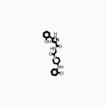 O=C(NCC(=O)N1CCC(Nc2ccccc2Cl)CC1)c1cc(-c2ccccc2O)[nH]n1